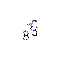 CC(C)(C)[S@+]([O-])N=Cc1c(F)cccc1-c1noc2ccccc12